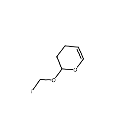 ICOC1CCC=CO1